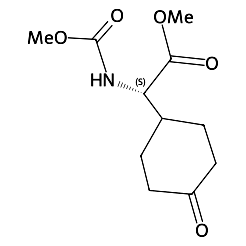 COC(=O)N[C@H](C(=O)OC)C1CCC(=O)CC1